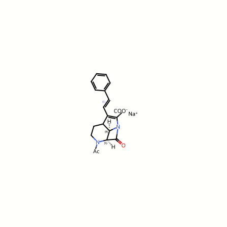 CC(=O)N1CCC2C(/C=C/c3ccccc3)=C(C(=O)[O-])N3C(=O)[C@@H]1[C@@H]23.[Na+]